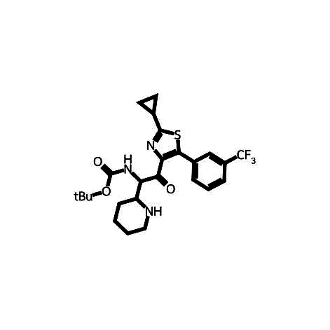 CC(C)(C)OC(=O)NC(C(=O)c1nc(C2CC2)sc1-c1cccc(C(F)(F)F)c1)C1CCCCN1